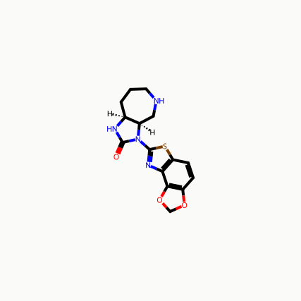 O=C1N[C@H]2CCCNC[C@H]2N1c1nc2c3c(ccc2s1)OCO3